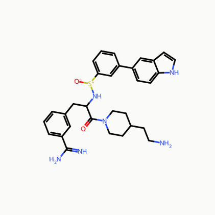 N=C(N)c1cccc(CC(N[S+]([O-])c2cccc(-c3ccc4[nH]ccc4c3)c2)C(=O)N2CCC(CCN)CC2)c1